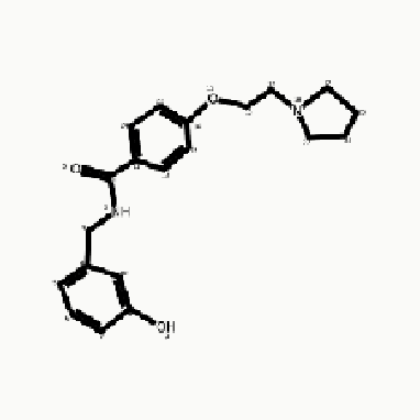 O=C(NCc1cccc(O)c1)c1ccc(OCCN2CCCC2)cc1